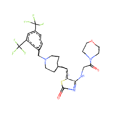 O=C1N=C(NCC(=O)N2CCOCC2)/C(=C/C2CCN(Cc3ccc(C(F)(F)F)cc3C(F)(F)F)CC2)S1